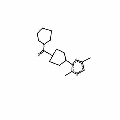 Cc1cnc(C)c(N2CCC(C(=O)N3CCCCC3)CC2)n1